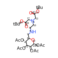 CC(=O)OC1C(OC(C)=O)[C@H](OC(C)=O)C(CNCCN(CC(=O)OC(C)(C)C)CC(=O)OC(C)(C)C)O[C@H]1OC(C)=O